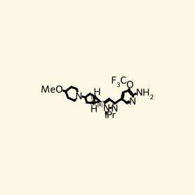 COC1CCN(C2C[C@@H]3[C@H](C2)[C@H]3c2cc(-c3cnc(N)c(OC(F)(F)F)c3)nn2C(C)C)CC1